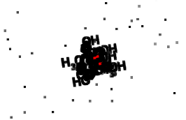 CC(C)(CC(c1ccc(O)cc1)C(CC(CC(C)(CC(C)(C)c1ccc(O)cc1)c1ccc(O)cc1)c1ccc(O)cc1)C(C)(C)c1ccc(O)cc1)c1ccc(O)cc1